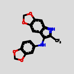 FC(F)(F)c1[nH]c2cc3c(cc2c1Nc1ccc2c(c1)OCO2)OCO3